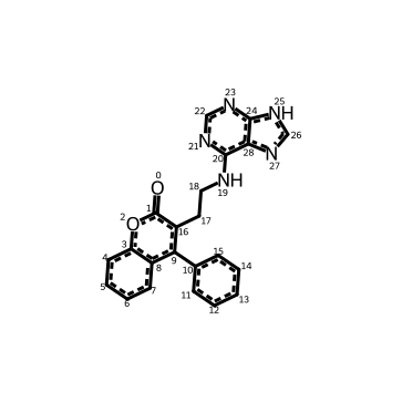 O=c1oc2ccccc2c(-c2ccccc2)c1CCNc1ncnc2[nH]cnc12